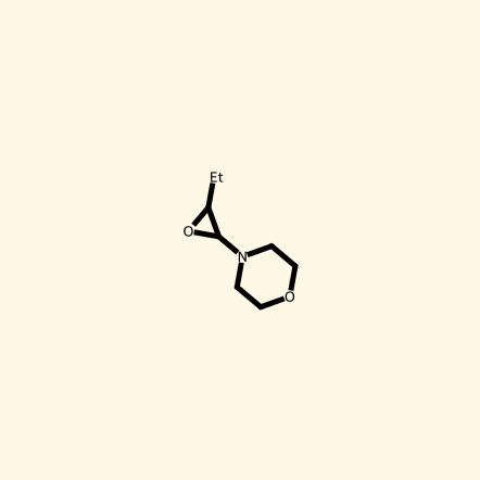 CCC1OC1N1CCOCC1